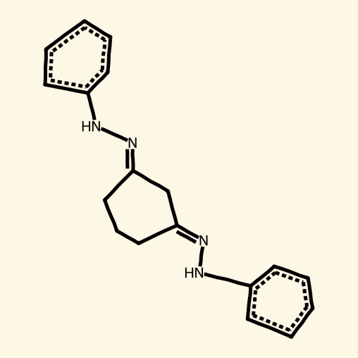 c1ccc(N/N=C2\CCC/C(=N\Nc3ccccc3)C2)cc1